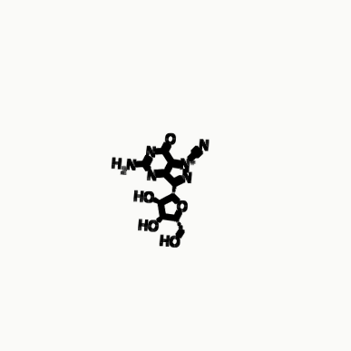 N#C[N+]1=C2C(=O)N=C(N)N=C2C([C@@H]2O[C@H](CO)[C@@H](O)[C@H]2O)=N1